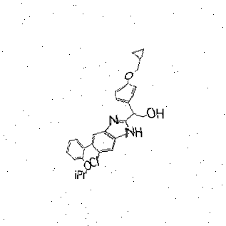 CC(C)Oc1ccccc1-c1cc2nc(C(CO)c3ccc(OCC4CC4)cc3)[nH]c2cc1Cl